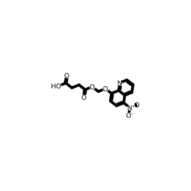 O=C(O)CCC(=O)OCOc1ccc([N+](=O)[O-])c2cccnc12